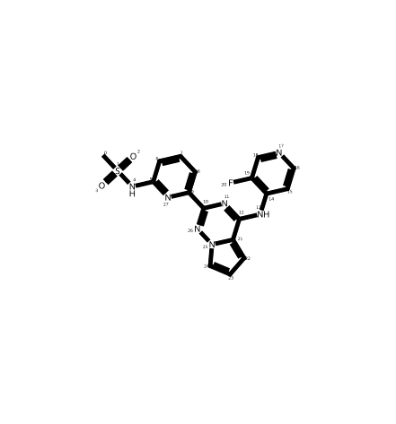 CS(=O)(=O)Nc1cccc(-c2nc(Nc3ccncc3F)c3cccn3n2)n1